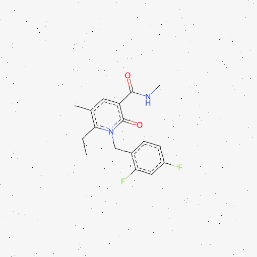 CCc1c(C)cc(C(=O)NC)c(=O)n1Cc1ccc(F)cc1F